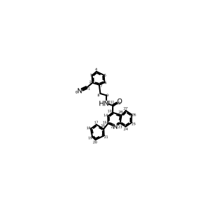 N#Cc1ccccc1CCNC(=O)c1cc(-c2ccccc2)nc2ccccc12